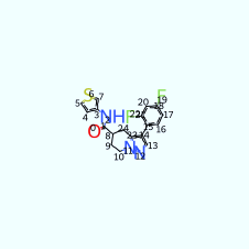 O=C(Nc1ccsc1)C1CCn2ncc(-c3ccc(F)cc3F)c2C1